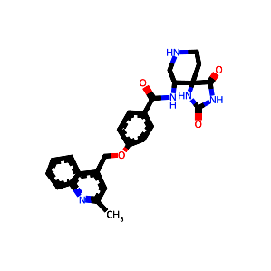 Cc1cc(COc2ccc(C(=O)NC3CNCCC34NC(=O)NC4=O)cc2)c2ccccc2n1